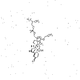 CCOC(=O)O[C@]1(C(=O)COC(=O)OCC(C)C)CC[C@H]2[C@@H]3CCC4=CC(=O)C=C[C@]4(C)[C@H]3C(O)C[C@@]21C